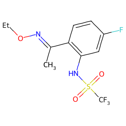 CCO/N=C(\C)c1ccc(F)cc1NS(=O)(=O)C(F)(F)F